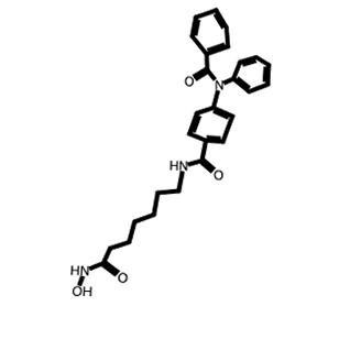 O=C(CCCCCCNC(=O)c1ccc(N(C(=O)c2ccccc2)c2ccccc2)cc1)NO